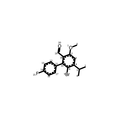 COc1cc(C(C)C)c(Br)c(-c2ccc(F)cc2)c1C=O